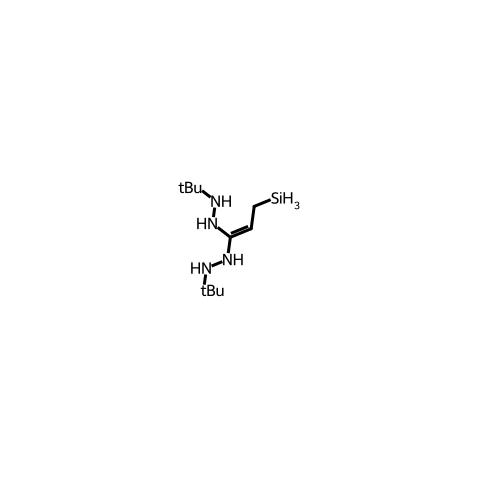 CC(C)(C)NNC(=CC[SiH3])NNC(C)(C)C